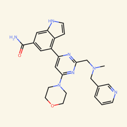 CN(Cc1cccnc1)Cc1nc(-c2cc(C(N)=O)cc3[nH]ccc23)cc(N2CCOCC2)n1